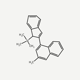 Cc1cc(C2=Cc3ccccc3C2[Si](C)(C)C)c2ccccc2c1